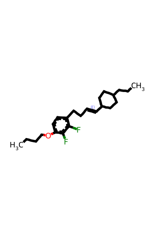 CCCCOc1ccc(CC/C=C/C2CCC(CCC)CC2)c(F)c1F